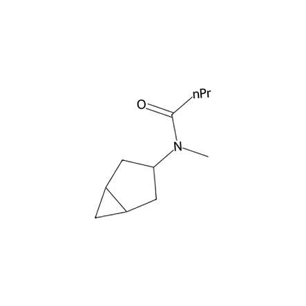 CCCC(=O)N(C)C1CC2CC2C1